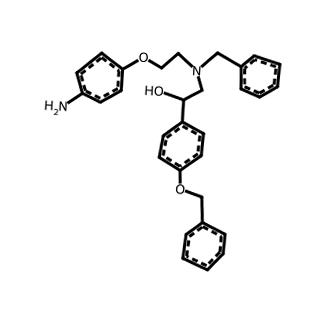 Nc1ccc(OCCN(Cc2ccccc2)CC(O)c2ccc(OCc3ccccc3)cc2)cc1